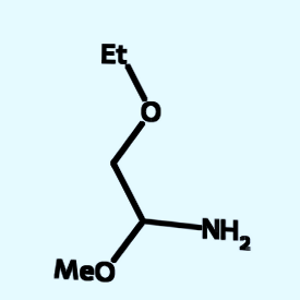 CCOCC(N)OC